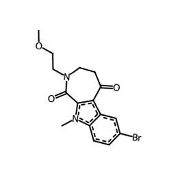 COCCN1CCC(=O)c2c(n(C)c3ccc(Br)cc23)C1=O